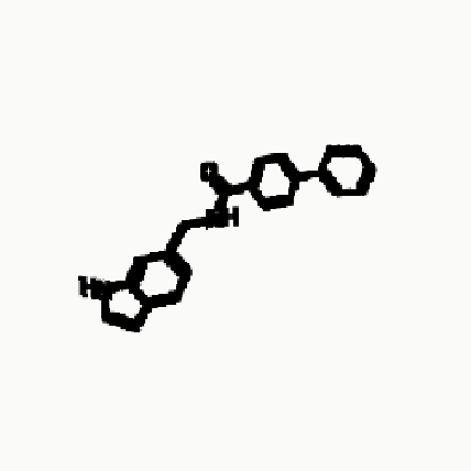 O=C(NCc1ccc2cc[nH]c2c1)c1ccc(-c2ccccc2)cc1